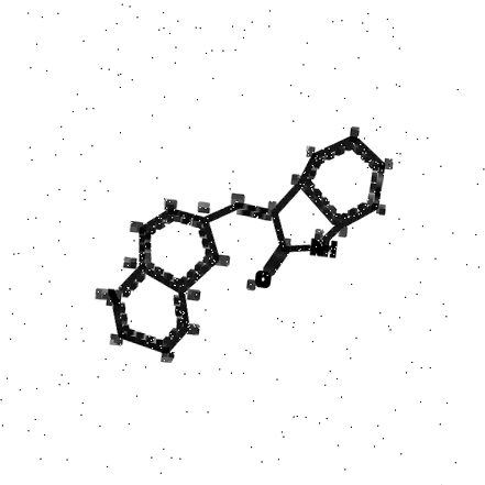 O=C1Nc2ccccc2C1=Cc1ccc2ncccc2c1